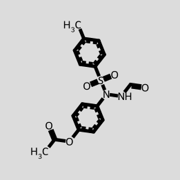 CC(=O)Oc1ccc(N(NC=O)S(=O)(=O)c2ccc(C)cc2)cc1